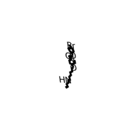 C=CCCNCCCCCCOC1CCN(C(=O)Oc2ccc(Br)cc2)CC1